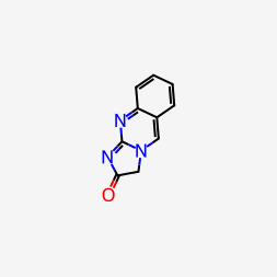 O=C1CN2C=c3ccccc3=NC2=N1